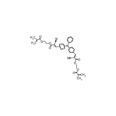 C=C(C)C(=O)OCCOC(=O)/C(C#N)=C/c1ccc(N(c2ccccc2)c2ccc(/C=C(\C#N)C(=O)OCCOC(=O)C(=C)C)cc2)cc1